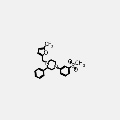 CS(=O)(=O)c1cccc(N2CCN(Cc3ccc(C(F)(F)F)o3)C(c3ccccc3)C2)c1